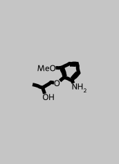 COc1cccc(N)c1OCC(C)O